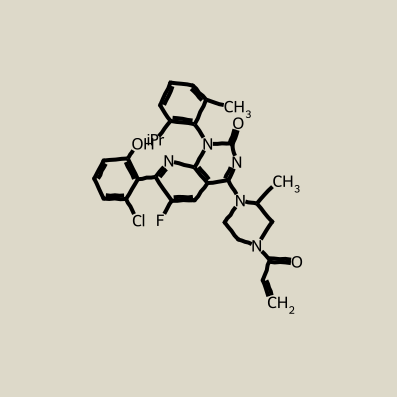 C=CC(=O)N1CCN(c2nc(=O)n(-c3c(C)cccc3C(C)C)c3nc(-c4c(O)cccc4Cl)c(F)cc23)C(C)C1